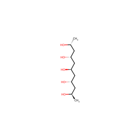 C[C@@H](O)C[C@H](O)C[C@@H](O)C[C@H](O)C[C@@H](C)O